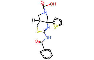 O=C(NC1=N[C@@]2(c3cccs3)CN(C(=O)O)C[C@H]2CS1)c1ccccc1